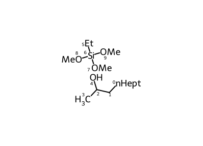 CCCCCCCCC(C)O.CC[Si](OC)(OC)OC